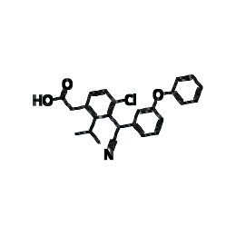 CC(C)c1c(CC(=O)O)ccc(Cl)c1C(C#N)c1cccc(Oc2ccccc2)c1